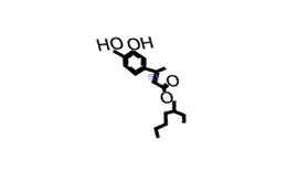 CCCCC(CC)COC(=O)/C=C(\C)c1ccc(CO)c(O)c1